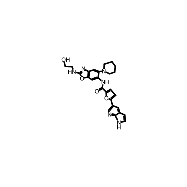 O=C(Nc1cc2oc(NCCO)nc2cc1N1CCCCC1)c1ccc(-c2cnc3[nH]ccc3c2)o1